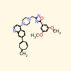 C=C1CC=CC(c2ccc3c(N4CCN(Cc5noc(-c6cc(OC)cc(OC)c6)n5)CC4)ccnc3c2)=CC1